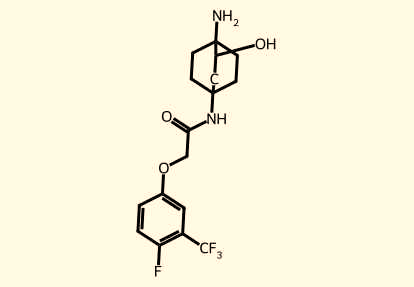 NC12CCC(NC(=O)COc3ccc(F)c(C(F)(F)F)c3)(CC1)CC2O